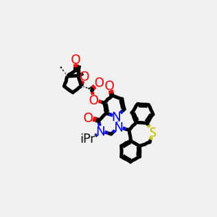 CC(C)N1CN(C2c3ccccc3CSc3ccccc32)n2ccc(=O)c(OC(=O)[C@@]34CC[C@@](C)(C(=O)O3)C4(C)C)c2C1=O